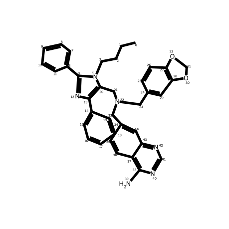 CCCCn1c(-c2ccccc2)nc(-c2ccccc2)c1CN(Cc1ccc2c(c1)OCO2)Cc1ccc2c(N)ncnc2c1